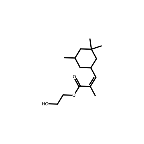 CC(=CC1CC(C)CC(C)(C)C1)C(=O)OCCO